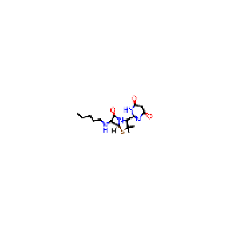 CCCCCNC1C(=O)N2C(C3=NC(=O)CC(=O)N3)C(C)(C)S[C@@H]12